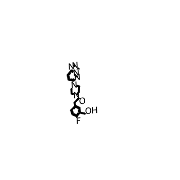 O=C(Cc1ccc(F)c(CO)c1)N1CCN(c2ccc3nncn3n2)CC1